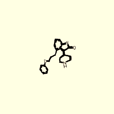 O=C1N=c2cccc(CCCOc3ccccc3)c2=C1C1=CCNCC1